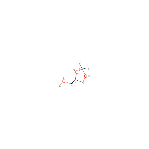 COC[C@@H]1COC(C)(C)O1